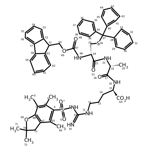 Cc1c(C)c(S(=O)(=O)NC(=N)NCCC[C@@H](NC(=O)[C@@H](C)NC(=O)[C@@H](CSC(c2ccccc2)(c2ccccc2)c2ccccc2)NC(=O)OCC2c3ccccc3-c3ccccc32)C(=O)O)c(C)c2c1OC(C)(C)C2